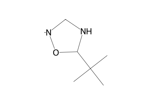 CC(C)(C)C1NC[N]O1